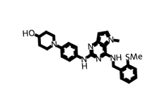 CSc1ccccc1CNc1nc(Nc2ccc(N3CCC(O)CC3)cc2)nc2ccn(C)c12